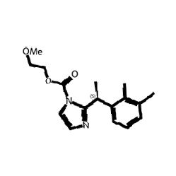 COCCOC(=O)n1ccnc1[C@@H](C)c1cccc(C)c1C